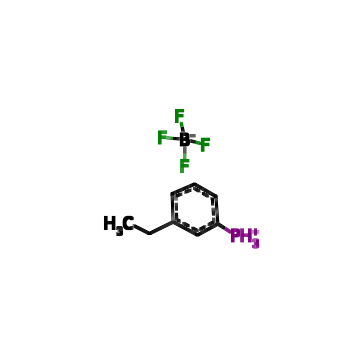 CCc1cccc([PH3+])c1.F[B-](F)(F)F